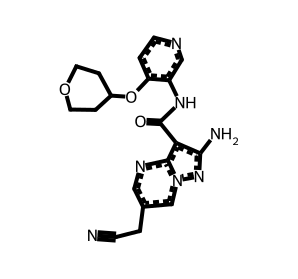 N#CCc1cnc2c(C(=O)Nc3cnccc3OC3CCOCC3)c(N)nn2c1